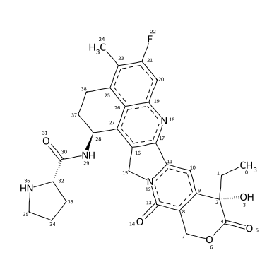 CC[C@@]1(O)C(=O)OCc2c1cc1n(c2=O)Cc2c-1nc1cc(F)c(C)c3c1c2[C@@H](NC(=O)[C@@H]1CCCN1)CC3